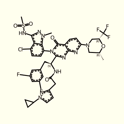 C[C@@H]1CN(c2ccc3c(=O)n(-c4ccc(Cl)c5c(NS(C)(=O)=O)nn(C)c45)c([C@H](Cc4cc(F)cc(F)c4)NC(=O)Cc4ccn(C5CC5)n4)nc3n2)C[C@H](C(F)(F)F)O1